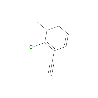 C#CC1=C(Cl)C(C)CC=C1